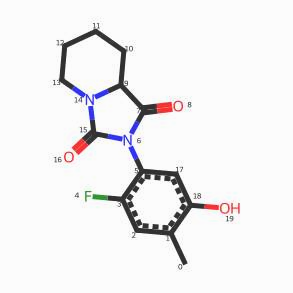 Cc1cc(F)c(N2C(=O)C3CCCCN3C2=O)cc1O